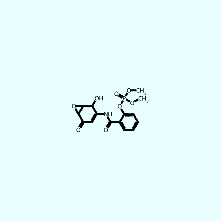 COP(=O)(OC)Oc1ccccc1C(=O)NC1=CC(=O)C2OC2C1O